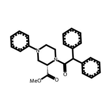 COC(=O)[C@@H]1CN(c2ccccc2)CCN1C(=O)C(c1ccccc1)c1ccccc1